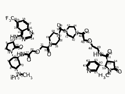 CC(C)N(C)[C@@H]1CC[C@H](N2CC[C@H](Nc3ncnc4ccc(C(F)(F)F)cc34)C2=O)[C@H](NC(=O)COCC(=O)N2CCN(C(=O)N3CCN(C(=O)COCCNC(=O)[C@H]4CC(=O)N(C)[C@@H]4c4cccnc4)CC3)CC2)C1